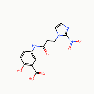 O=C(CCn1ccnc1[N+](=O)[O-])Nc1ccc(O)c(C(=O)O)c1